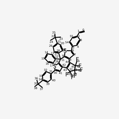 C=Cc1ccc(-c2cc3c(s2)C(c2ccccc2)(c2ccc(C(C)(C)C)cc2)c2sc(-c4ccc(C(C)(C)C)cc4)cc2C2=C3C(F)(F)C(F)(F)C2(F)F)cc1